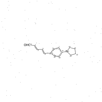 O=CC=CC=Cc1ccc(N2CCCC2)cc1